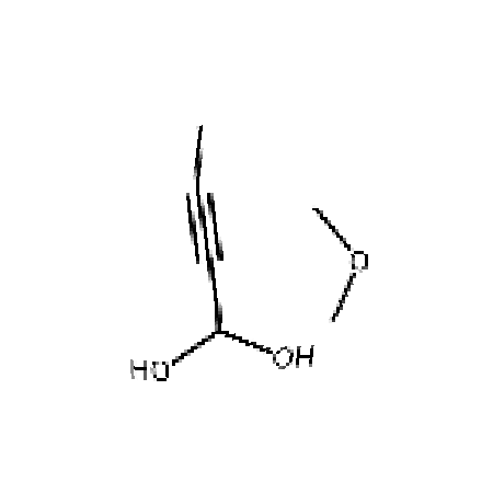 CC#CC(O)O.COC